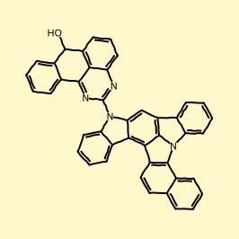 OC1c2ccccc2-c2nc(-n3c4ccccc4c4c5c6ccc7ccccc7c6n6c7ccccc7c(cc43)c56)nc3cccc1c23